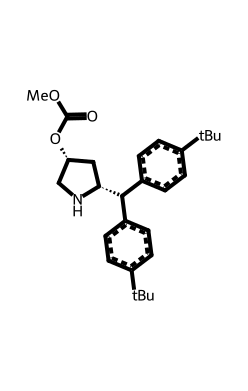 COC(=O)O[C@H]1CN[C@@H](C(c2ccc(C(C)(C)C)cc2)c2ccc(C(C)(C)C)cc2)C1